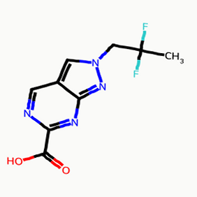 CC(F)(F)Cn1cc2cnc(C(=O)O)nc2n1